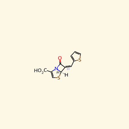 O=C(O)C1=CS[C@@H]2/C(=C/c3cccs3)C(=O)N12